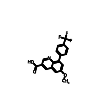 COc1cc(-c2ccc(C(F)(F)F)cc2)c2ncc(C(=O)O)cc2c1